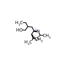 CCC(CO)C/C(C=C(C)C)=N/C(C)C